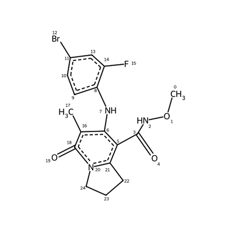 CONC(=O)c1c(Nc2ccc(Br)cc2F)c(C)c(=O)n2c1CCC2